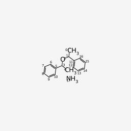 CC(OC(C)c1ccccc1)c1ccccc1.N